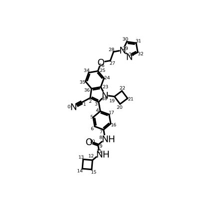 N#Cc1c(-c2ccc(NC(=O)NC3CCC3)cc2)n(C2CCC2)c2cc(OCCn3cccn3)ccc12